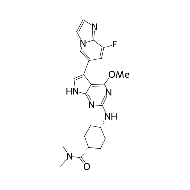 COc1nc(N[C@H]2CC[C@@H](C(=O)N(C)C)CC2)nc2[nH]cc(-c3cc(F)c4nccn4c3)c12